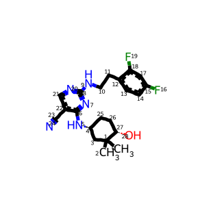 CC1(C)C[C@H](Nc2nc(NCCc3ccc(F)cc3F)ncc2C#N)CC[C@@H]1O